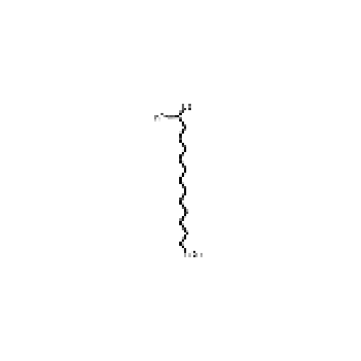 [CH2]CCCCCCCCCCCCCCCCCCCCCC(CC)CC[CH2]